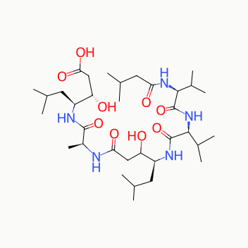 CC(C)CC(=O)N[C@H](C(=O)N[C@H](C(=O)N[C@@H](CC(C)C)C(O)CC(=O)N[C@@H](C)C(=O)N[C@@H](CC(C)C)[C@@H](O)CC(=O)O)C(C)C)C(C)C